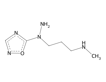 CNCCCN(N)c1ncno1